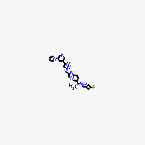 CC(NCC1CC(F)C1)c1ccc2nc(Cn3cc(-c4cncc(-n5cccc5)c4)nn3)cn2c1